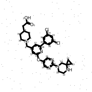 O=C(O)CC1CCN(Cc2cc(Oc3cnc(N4CCNC5(CC5)C4)nc3)nc(-c3cc(Cl)cc(Cl)c3)c2)CC1